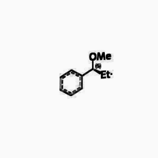 C[CH][C@H](OC)c1ccccc1